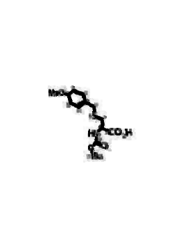 COc1ccc(CSC[C@H](NC(=O)OC(C)(C)C)C(=O)O)cc1